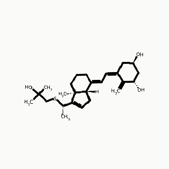 C=C1C(=CC=C2CCC[C@]3(C)C([C@H](C)SCC(C)(C)O)=CC[C@@H]23)C[C@@H](O)C[C@@H]1O